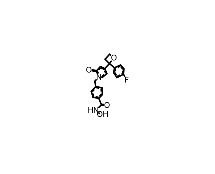 O=C(NO)c1ccc(Cn2ccc(C3(c4ccc(F)cc4)CCO3)cc2=O)cc1